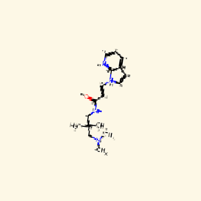 CN(C)CC(C)(C)CNC(=O)C=Cn1ccc2cccnc21